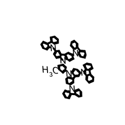 Cc1cc(-n2c3ccc(-n4c5ccccc5c5ccccc54)cc3c3cc(-n4c5ccccc5c5ccccc54)ccc32)cc(-n2c3ccc(-n4c5ccccc5c5ccccc54)cc3c3cc(-n4c5ccccc5c5ccccc54)ccc32)c1